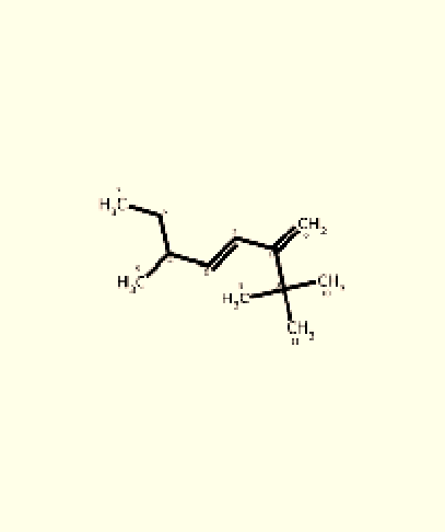 C=C(C=C[C](C)CC)C(C)(C)C